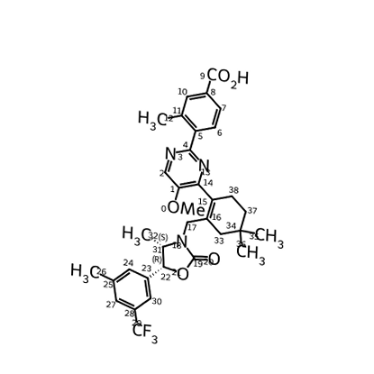 COc1cnc(-c2ccc(C(=O)O)cc2C)nc1C1=C(CN2C(=O)O[C@H](c3cc(C)cc(C(F)(F)F)c3)[C@@H]2C)CC(C)(C)CC1